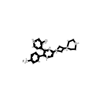 FC(F)(F)c1ccc(-c2ncc(N3CC(N4CCOCC4)C3)nc2-c2ccncc2Cl)cc1